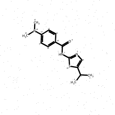 CC(C)c1cnc(NC(=O)c2ccc(N(C)C)cc2)s1